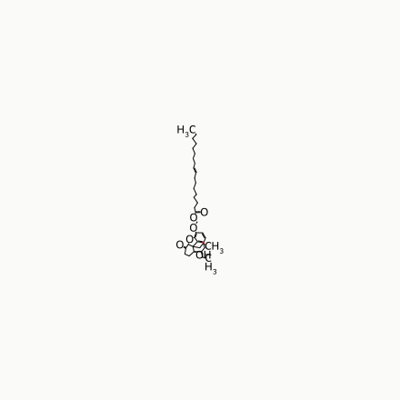 CCCCCCCC/C=C/CCCCCCCC(=O)OCOc1ccc2c3c1OC1C(=O)CCC(O)(C(CC)C2)C31CCC